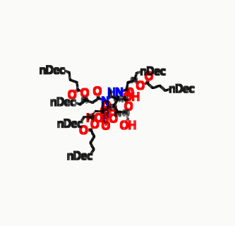 CCCCCCCCCCCCCC(=O)O[C@H](CCCCCCCCCCC)CC(=O)NC(C)[C@]1(NC(=O)C[C@@H](CCCCCCCCCCC)OC(=O)CCCCCCCCCCCCC)[C@H](O)O[C@H](CO)[C@@H](OP(=O)(O)O)[C@@H]1OC(=O)C[C@@H](CCCCCCCCCCC)OC(=O)CCCCCCCCCCCCC